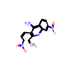 C=Cc1nc2cc([N+](=O)[O-])ccc2c(N)c1/C=C\C[N+](=O)[O-]